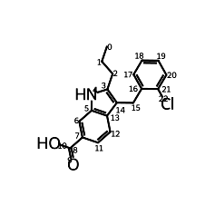 CCCc1[nH]c2cc(C(=O)O)ccc2c1Cc1ccccc1Cl